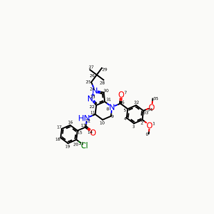 COc1ccc(C(=O)N2CCC(NC(=O)c3ccccc3Cl)c3nn(CC(C)(C)C)cc32)cc1OC